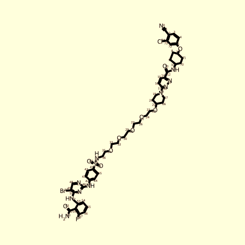 N#Cc1ccc(OC2CCC(NC(=O)c3ccc(N4CCC(OCCOCCOCCOCCOCCNS(=O)(=O)c5ccc(Nc6ncc(Br)c(Nc7cccc(F)c7C(N)=O)n6)cc5)CC4)nn3)CC2)cc1Cl